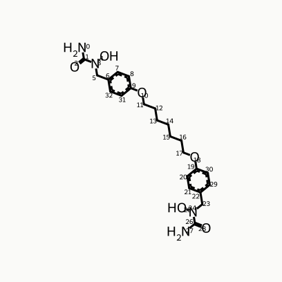 NC(=O)N(O)Cc1ccc(OCCCCCCCOc2ccc(CN(O)C(N)=O)cc2)cc1